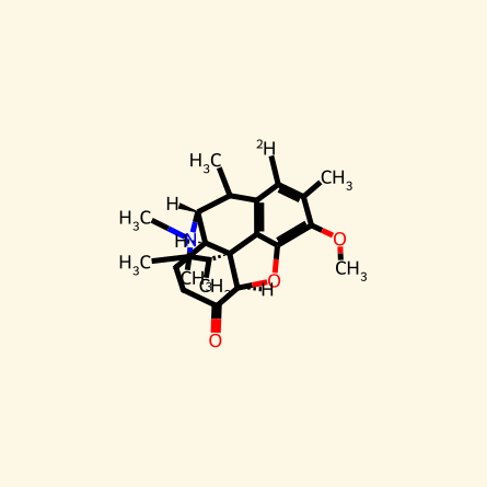 [2H]c1c(C)c(OC)c2c3c1C(C)[C@@H]1[C@@H]4CCC(=O)[C@H](O2)[C@]34C(C)C(C)(C)N1C